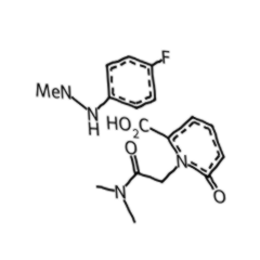 CN(C)C(=O)Cn1c(C(=O)O)cccc1=O.CNNc1ccc(F)cc1